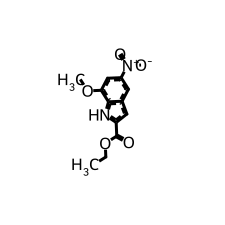 CCOC(=O)c1cc2cc([N+](=O)[O-])cc(OC)c2[nH]1